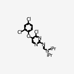 CC(C)N(/C=N/c1ncc(Oc2ccc(Cl)cc2Cl)c(Cl)n1)C(C)C